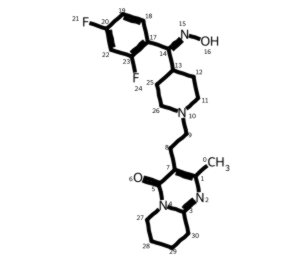 Cc1nc2n(c(=O)c1CCN1CCC(/C(=N\O)c3ccc(F)cc3F)CC1)CCCC2